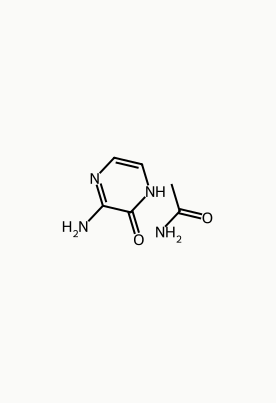 CC(N)=O.Nc1ncc[nH]c1=O